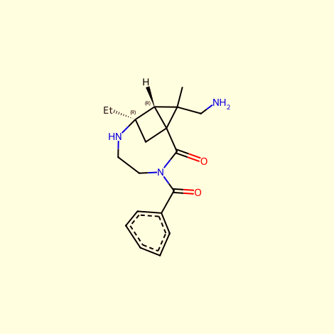 CC[C@]12CC3(C(=O)N(C(=O)c4ccccc4)CCN1)[C@H]2C3(C)CN